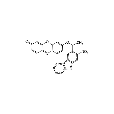 CC(OC1=CC2OC3=CC(=O)C=CC3=NC2C=C1)c1cc2c(cc1[N+](=O)[O-])oc1ccccc12